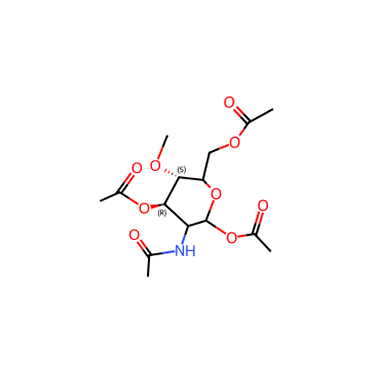 CO[C@@H]1C(COC(C)=O)OC(OC(C)=O)C(NC(C)=O)[C@H]1OC(C)=O